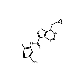 Nc1ccc(F)c(NC(=O)c2csc3c2N=CNC3NC2CC2)c1